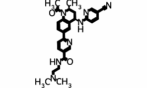 CC(=O)N1c2ccc(-c3ccc(C(=O)NCCN(C)C)cn3)cc2[C@H](Nc2ccc(C#N)cn2)C[C@@H]1C